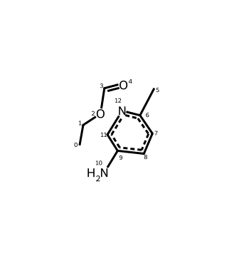 CCOC=O.Cc1ccc(N)cn1